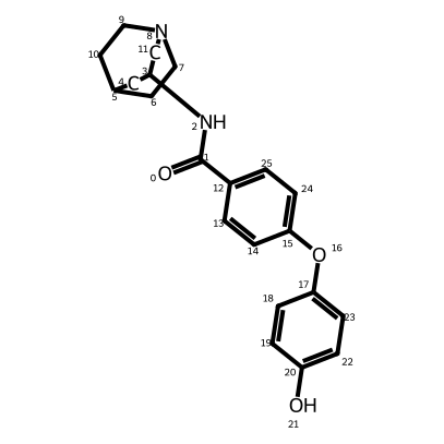 O=C(NC1CC2CCN(CC2)C1)c1ccc(Oc2ccc(O)cc2)cc1